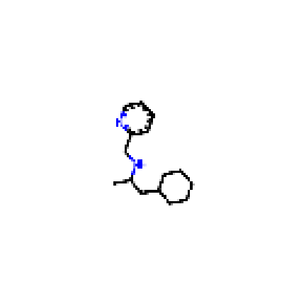 CC(CC1CCCCC1)NCc1[c]cccn1